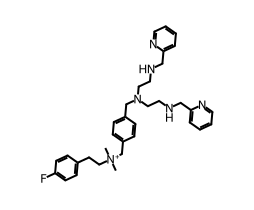 C[N+](C)(CCc1ccc(F)cc1)Cc1ccc(CN(CCNCc2ccccn2)CCNCc2ccccn2)cc1